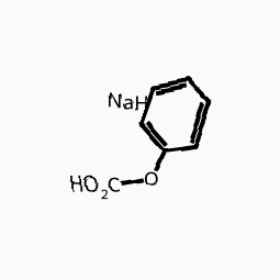 O=C(O)Oc1ccccc1.[NaH]